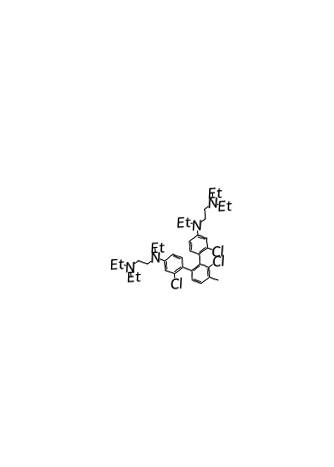 CCN(CC)CCN(CC)c1ccc(-c2ccc(C)c(Cl)c2-c2ccc(N(CC)CCN(CC)CC)cc2Cl)c(Cl)c1